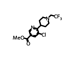 COC(=O)c1cnc(C2CCN(CC(F)(F)F)CC2)c(Cl)c1